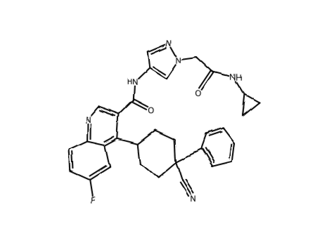 N#CC1(c2ccccc2)CCC(c2c(C(=O)Nc3cnn(CC(=O)NC4CC4)c3)cnc3ccc(F)cc23)CC1